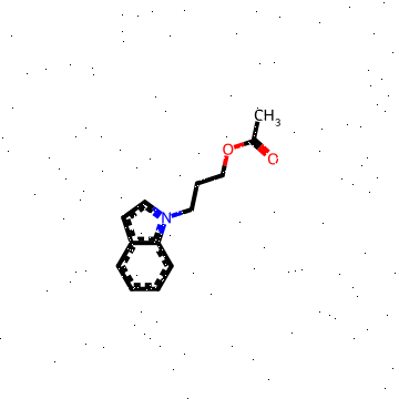 CC(=O)OCCCn1ccc2ccccc21